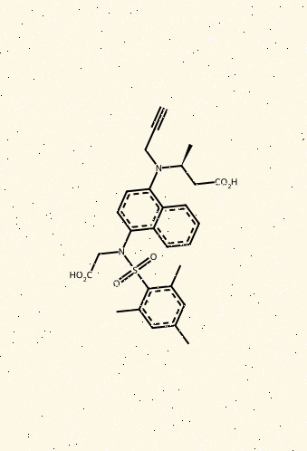 C#CCN(c1ccc(N(CC(=O)O)S(=O)(=O)c2c(C)cc(C)cc2C)c2ccccc12)[C@@H](C)CC(=O)O